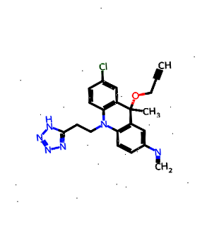 C#CCOC1(C)c2cc(Cl)ccc2N(CCc2nnn[nH]2)c2ccc(N=C)cc21